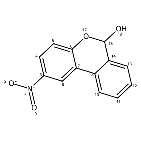 O=[N+]([O-])c1ccc2c(c1)-c1ccccc1C(O)O2